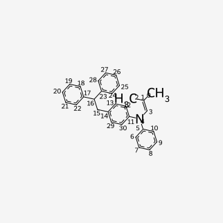 CC(C)=CN(c1ccccc1)c1ccc(CC(c2ccccc2)c2ccccc2)cc1